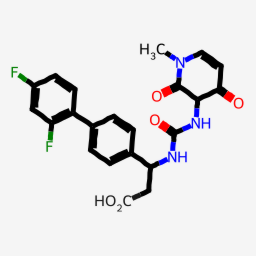 CN1C=CC(=O)C(NC(=O)NC(CC(=O)O)c2ccc(-c3ccc(F)cc3F)cc2)C1=O